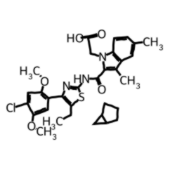 C1CC2CC2C1.CCc1sc(NC(=O)c2c(C)c3cc(C)ccc3n2CC(=O)O)nc1-c1cc(OC)c(Cl)cc1OC